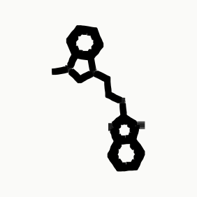 CN1CN(CCSc2nc3ccccc3[nH]2)c2ccccc21